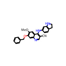 COc1cc2c(Nc3ccc4c(c3)NCC4)c(C#N)cnc2cc1OCc1ccccc1